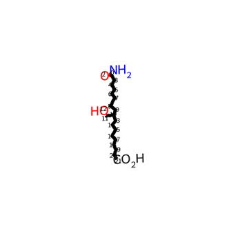 NC(=O)CCCCCCCC(CO)CCCCCCCCC(=O)O